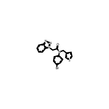 O=C(Cn1nnc2ccccc21)N(Cc1ccsc1)c1ccc(Br)cc1